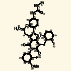 CCNC(=O)Nc1ccc(-n2nc3c(c2CN(C)C)c(=O)n(-c2cccc(OC)c2F)c(=O)n3Cc2c(F)cccc2F)cc1